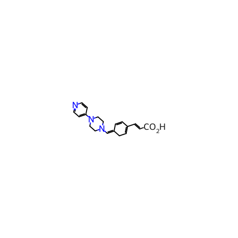 O=C(O)C=CC1=CCC(=CN2CCN(c3ccncc3)CC2)C=C1